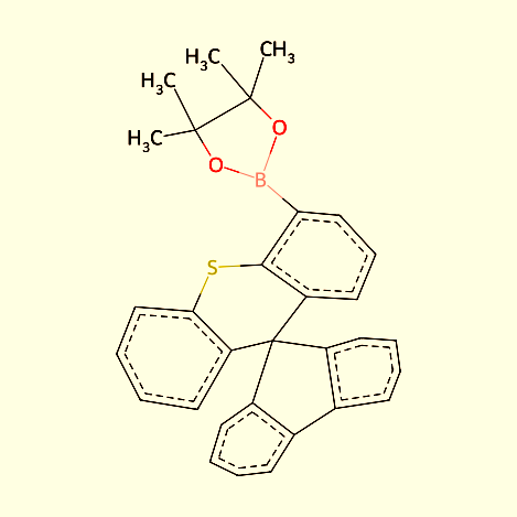 CC1(C)OB(c2cccc3c2Sc2ccccc2C32c3ccccc3-c3ccccc32)OC1(C)C